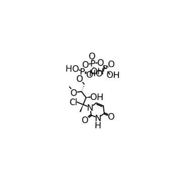 CO[C@H](COP(=O)(O)OP(=O)(O)OP(=O)(O)O)[C@@H](O)[C@@](C)(Cl)n1ccc(=O)[nH]c1=O